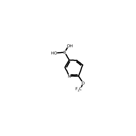 OB(O)c1ccc(OC(F)(F)F)nc1